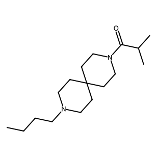 CCCCN1CCC2(CC1)CCN(C(=O)C(C)C)CC2